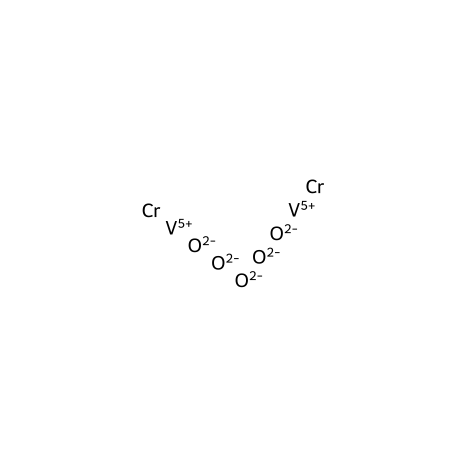 [Cr].[Cr].[O-2].[O-2].[O-2].[O-2].[O-2].[V+5].[V+5]